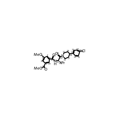 COC(=O)c1cc(OC)cc(C(=O)N[C@@H](C(=O)N2CCC(c3ccc(Cl)cc3)CC2)C(C)C)c1